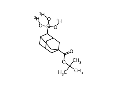 [3H]O[Si](O[3H])(O[3H])C1C2CC3CC1CC(C(=O)OC(C)(C)C)(C3)C2